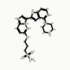 CS(=O)(=O)CCCOc1ccc2ncc(-c3cc4c(N5CCOCC5)nccc4o3)n2n1